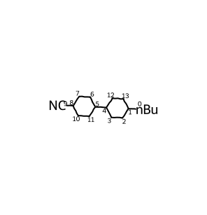 CCCCC1CCC(C2CCC(C#N)CC2)CC1